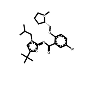 CC(C)Cn1cc(C(C)(C)C)s/c1=N\C(=O)c1cc(Br)ccc1OC[C@@H]1CCCN1C